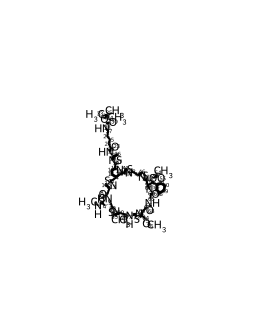 CNC(=O)C[C@@H]1NC(=O)c2csc(n2)-c2ccc(-c3nc(NC(=O)CCCCNC(=O)OC(C)(C)C)cs3)nc2-c2csc(n2)-c2csc(n2)C([C@@H](OC(C)=O)c2ccccc2)NC(=O)CNC(=O)c2nc(sc2COC)NC(=O)c2nc1sc2C